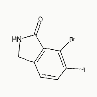 O=C1NCc2ccc(I)c(Br)c21